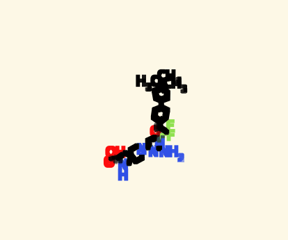 CC(C)(C)c1ccc(-c2ccc([C@@H](Oc3cc(N4CCC5(CC4)CN[C@H](C(=O)O)C5)nc(N)n3)C(F)(F)F)cc2)cc1